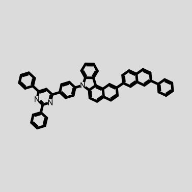 c1ccc(-c2ccc3ccc(-c4ccc5ccc6c(c5c4)c4ccccc4n6-c4ccc(-c5cc(-c6ccccc6)nc(-c6ccccc6)n5)cc4)cc3c2)cc1